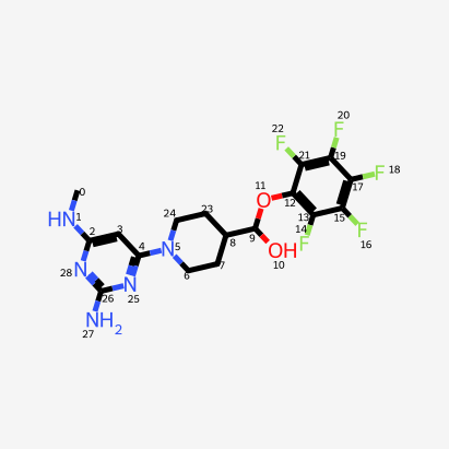 CNc1cc(N2CCC(C(O)Oc3c(F)c(F)c(F)c(F)c3F)CC2)nc(N)n1